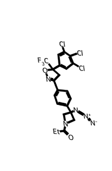 CCC(=O)N1CC(N=[N+]=[N-])(c2ccc(C3=NOC(c4cc(Cl)c(Cl)c(Cl)c4)(C(F)(F)F)C3)cc2)C1